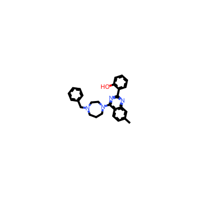 Cc1ccc2c(N3CCCN(Cc4ccccc4)CC3)nc(-c3ccccc3O)nc2c1